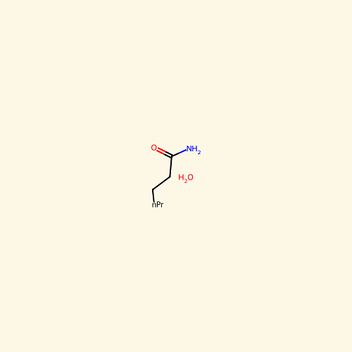 CCCCCC(N)=O.O